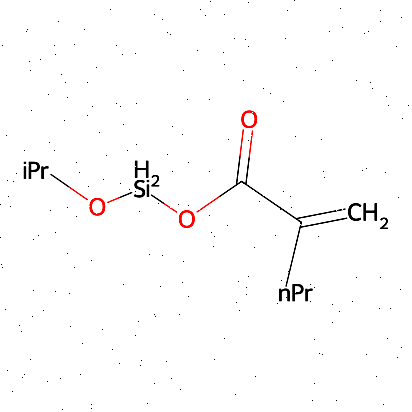 C=C(CCC)C(=O)O[SiH2]OC(C)C